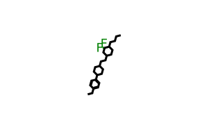 CCCCC1CCC(CCC2CCC(c3ccc(CC)cc3)CC2)CC1(F)F